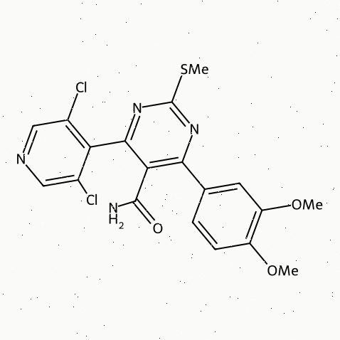 COc1ccc(-c2nc(SC)nc(-c3c(Cl)cncc3Cl)c2C(N)=O)cc1OC